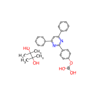 CC(C)(O)C(C)(C)O.OB(O)Oc1ccc(-c2nc(-c3ccccc3)cc(-c3ccccc3)n2)cc1